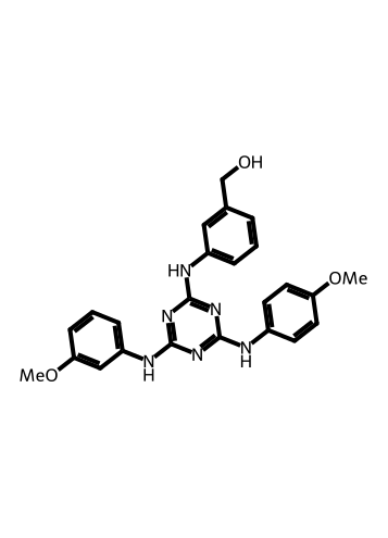 COc1ccc(Nc2nc(Nc3cccc(CO)c3)nc(Nc3cccc(OC)c3)n2)cc1